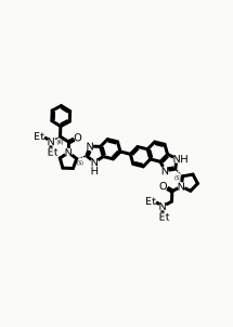 CCN(CC)CC(=O)N1CCC[C@H]1c1nc2c(ccc3cc(-c4ccc5nc([C@@H]6CCCN6C(=O)[C@@H](c6ccccc6)N(CC)CC)[nH]c5c4)ccc32)[nH]1